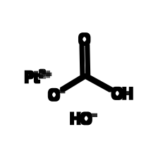 O=C([O-])O.[OH-].[Pt+2]